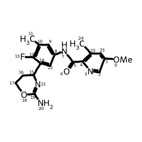 COc1cnc(C(=O)Nc2cc(C)c(F)c(C3CCOC(N)=N3)c2)c(C)c1